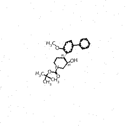 COc1ccc(-c2ccccc2)cc1[C@H]1CCN(C(=O)OC(C)(C)C)C[C@@H]1O